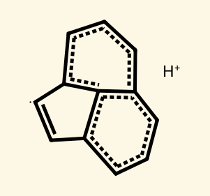 [C]1=Cc2cccc3cccc1c23.[H+]